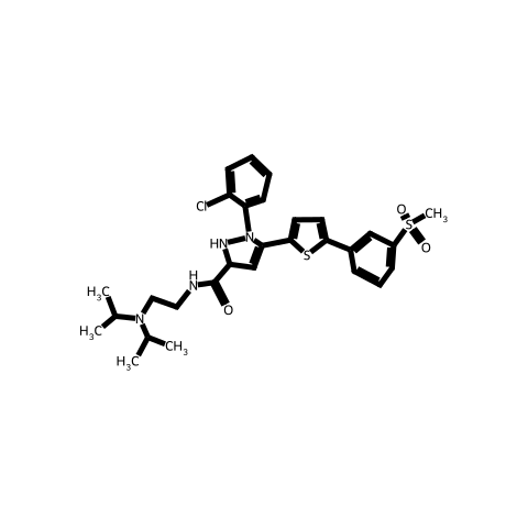 CC(C)N(CCNC(=O)C1C=C(c2ccc(-c3cccc(S(C)(=O)=O)c3)s2)N(c2ccccc2Cl)N1)C(C)C